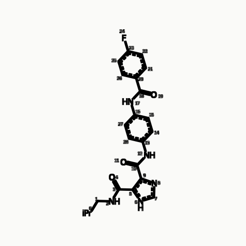 CC(C)CNC(=O)c1[nH]cnc1C(=O)Nc1ccc(NC(=O)c2ccc(F)cc2)cc1